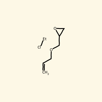 C=CCOCC1CO1.CCCl